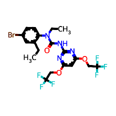 CCc1cc(Br)ccc1N(CC)C(=O)Nc1nc(OCC(F)(F)F)cc(OCC(F)(F)F)n1